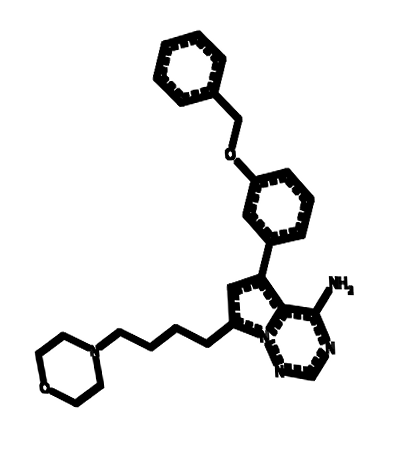 Nc1ncnn2c(CCCCN3CCOCC3)cc(-c3cccc(OCc4ccccc4)c3)c12